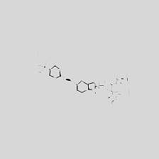 CC(CCn1cc2cc(C#Cc3ccc(C4(CO)COC4)cc3)ccc2n1)(C(=O)NO)S(C)(=O)=O